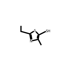 CCc1nc(C)c(S)s1